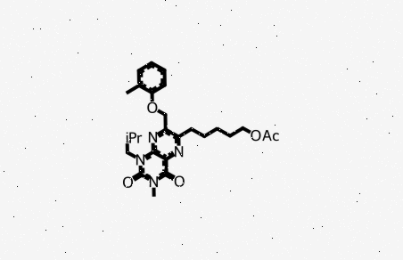 CC(=O)OCCCCCc1nc2c(=O)n(C)c(=O)n(CC(C)C)c2nc1COc1ccccc1C